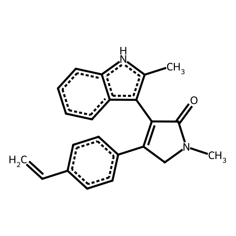 C=Cc1ccc(C2=C(c3c(C)[nH]c4ccccc34)C(=O)N(C)C2)cc1